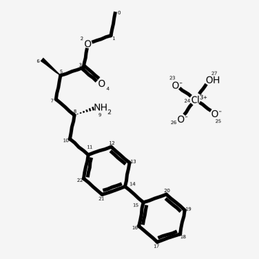 CCOC(=O)[C@H](C)C[C@H](N)Cc1ccc(-c2ccccc2)cc1.[O-][Cl+3]([O-])([O-])O